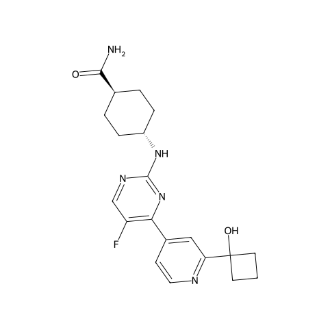 NC(=O)[C@H]1CC[C@H](Nc2ncc(F)c(-c3ccnc(C4(O)CCC4)c3)n2)CC1